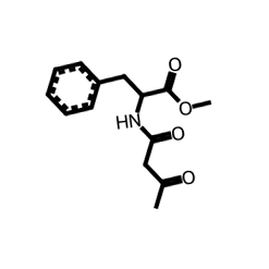 COC(=O)C(Cc1ccccc1)NC(=O)CC(C)=O